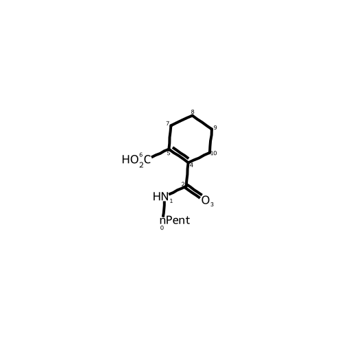 CCCCCNC(=O)C1=C(C(=O)O)CCCC1